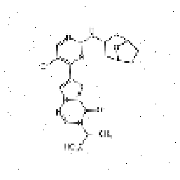 CC(C(=O)O)n1cnn2cc(-c3nc(NC4CC5CCC(C4)O5)ncc3Cl)cc2c1=O